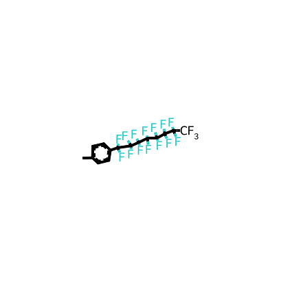 Cc1ccc(C(F)(F)C(F)(F)C(F)(F)C(F)(F)C(F)(F)C(F)(F)C(F)(F)C(F)(F)F)cc1